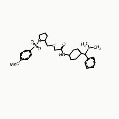 COc1ccc(S(=O)(=O)N2CCCC2COCC(=O)NC2CCC(C(c3ccccc3)N(C)C)CC2)cc1